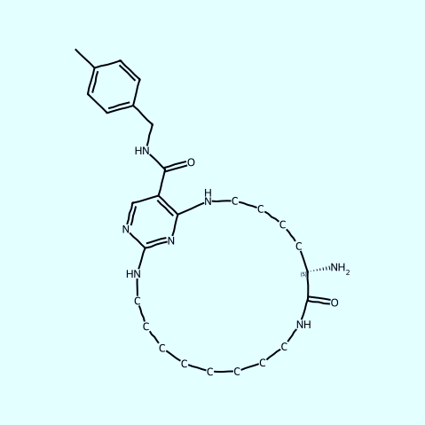 Cc1ccc(CNC(=O)c2cnc3nc2NCCCC[C@H](N)C(=O)NCCCCCCCCN3)cc1